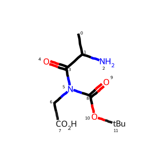 CC(N)C(=O)N(CC(=O)O)C(=O)OC(C)(C)C